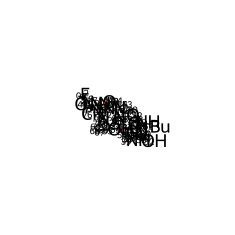 C=C(F)C(=O)N1CCN(c2nc(O[C@H](C)CN3CCC(COCC(=O)N[C@H](C(=O)N4C[C@H](O)C[C@H]4C(=O)N[C@@H](C)c4ccc(-c5scnc5C)cc4)C(C)(C)C)CC3)nc3c2CCN(c2cc(O)cc4ccccc24)C3)C[C@@H]1CC#N